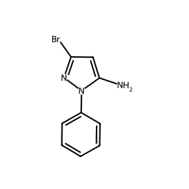 Nc1cc(Br)nn1-c1ccccc1